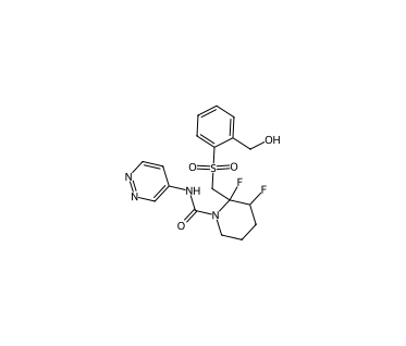 O=C(Nc1ccnnc1)N1CCCC(F)C1(F)CS(=O)(=O)c1ccccc1CO